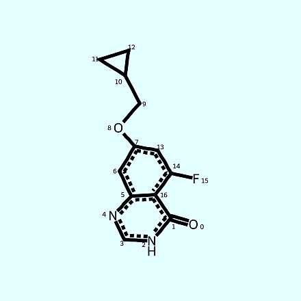 O=c1[nH]cnc2cc(OCC3CC3)cc(F)c12